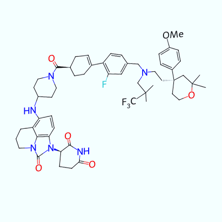 COc1ccc([C@]2(CCN(Cc3ccc(C4=CC[C@H](C(=O)N5CCC(Nc6ccc7c8c6CCCn8c(=O)n7[C@@H]6CCC(=O)NC6=O)CC5)CC4)c(F)c3)CC(C)(C)C(F)(F)F)CCOC(C)(C)C2)cc1